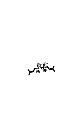 CC(C)=CC[PH]([Pd][PH](CC=C(C)C)(C(C)C)C(C)C)(C(C)C)C(C)C